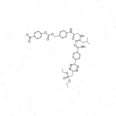 CCOP(=O)(Cc1nnc(-c2ccc(C(=O)N[C@H](C(=O)N[C@@H](C)C(=O)Nc3ccc(COC(=O)Oc4ccc([N+](=O)[O-])cc4)cc3)C(C)C)cc2)nn1)OCC